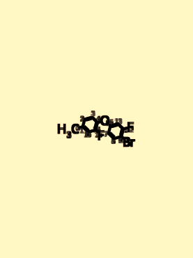 Cc1ccc(Oc2ccc(Br)c(F)c2)c(F)c1